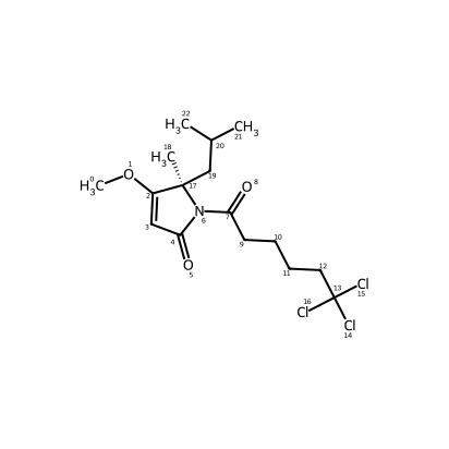 COC1=CC(=O)N(C(=O)CCCCC(Cl)(Cl)Cl)[C@]1(C)CC(C)C